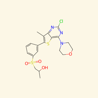 Cc1c(-c2cccc(S(=O)(=O)CC(C)O)c2)sc2c(N3CCOCC3)nc(Cl)nc12